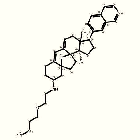 CCCOCCOCCN[C@H]1CCC2=CC3=CC[C@]4(C)[C@@H](c5ccc6ccncc6c5)CC[C@H]4[C@@]34CC[C@]2(C1)O4